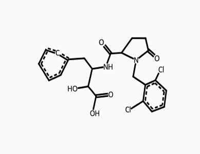 O=C(O)C(O)C(Cc1ccccc1)NC(=O)C1CCC(=O)N1Cc1c(Cl)cccc1Cl